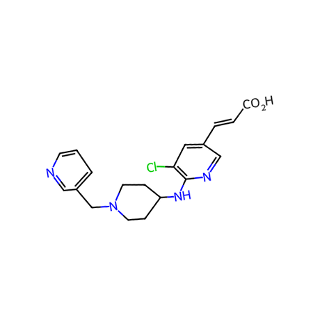 O=C(O)/C=C/c1cnc(NC2CCN(Cc3cccnc3)CC2)c(Cl)c1